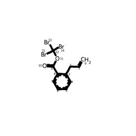 C=CCc1ccccc1C(=O)OC(Br)(Br)Br